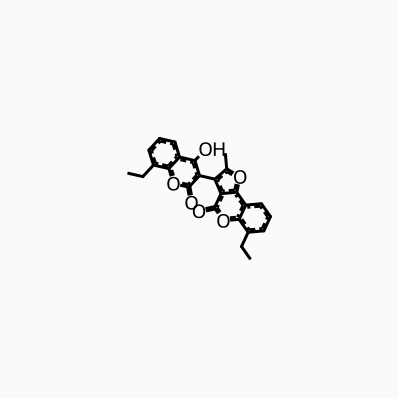 CCc1cccc2c(O)c(-c3c(C)oc4c3c(=O)oc3c(CC)cccc34)c(=O)oc12